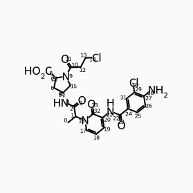 CC(C(=O)N[C@@H]1C[C@@H](C(=O)O)N(C(=O)CCCl)C1)n1cccc(NC(=O)c2ccc(N)c(Cl)c2)c1=O